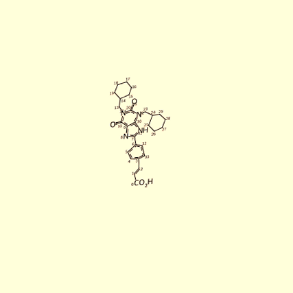 O=C(O)C=Cc1ccc(-c2nc3c(=O)n(CC4CCCCC4)c(=O)n(CC4CCCCC4)c3[nH]2)cc1